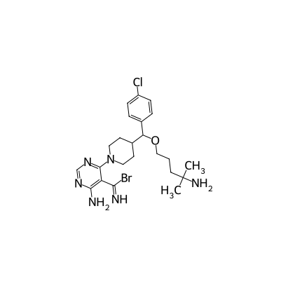 CC(C)(N)CCCOC(c1ccc(Cl)cc1)C1CCN(c2ncnc(N)c2C(=N)Br)CC1